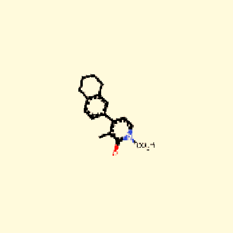 Cc1c(-c2ccc3c(c2)CCCC3)ccn(C(=O)O)c1=O